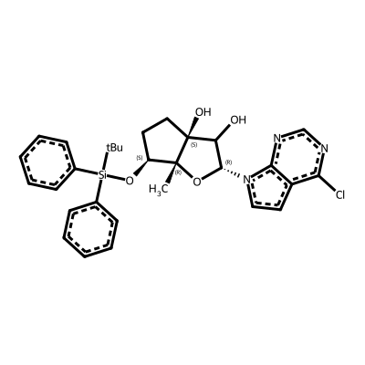 CC(C)(C)[Si](O[C@H]1CC[C@]2(O)C(O)[C@H](n3ccc4c(Cl)ncnc43)O[C@]12C)(c1ccccc1)c1ccccc1